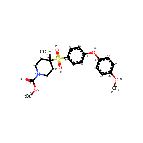 CC(C)(C)OC(=O)N1CCC(C(=O)O)(S(=O)(=O)c2ccc(Oc3ccc(OC(F)(F)F)cc3)cc2)CC1